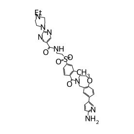 CCN1CCN(c2ncc(C(=O)NCCS(=O)(=O)c3ccc(C(=O)N4CCOc5ccc(-c6ccc(N)nc6)cc5C4)c(C)c3)cn2)CC1